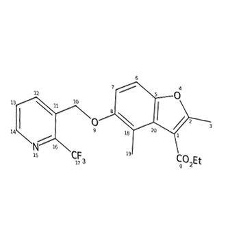 CCOC(=O)c1c(C)oc2ccc(OCc3cccnc3C(F)(F)F)c(C)c12